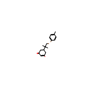 Cc1ccc(SCC(C)(C)C2CC(=O)C=C(O)C2)cc1